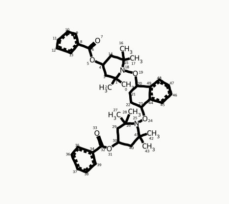 CC1(C)CC(OC(=O)c2ccccc2)CC(C)(C)N1OC1CCC(ON2C(C)(C)CC(OC(=O)c3ccccc3)CC2(C)C)c2ccccc21